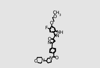 COCCOc1cc2[nH]nc(-c3cc(-c4ccc(C(=O)N5CCC(N6CCOCC6)C5)cc4)no3)c2cc1F